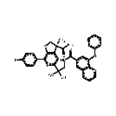 C[C@]1(C(N)=O)COc2c1cc(C(O)(CNC(=O)c1cc(Oc3ccccc3)c3ncccc3c1)C(F)(F)F)nc2-c1ccc(F)cc1